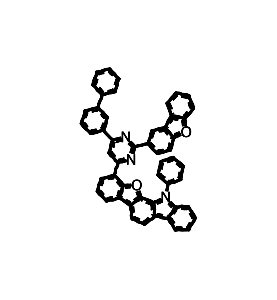 c1ccc(-c2cccc(-c3cc(-c4cccc5c4oc4c5ccc5c6ccccc6n(-c6ccccc6)c54)nc(-c4ccc5oc6ccccc6c5c4)n3)c2)cc1